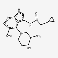 CSc1cnc2[nH]cc(NC(=O)CC3CC3)c2c1N1CCCC(N)C1.Cl